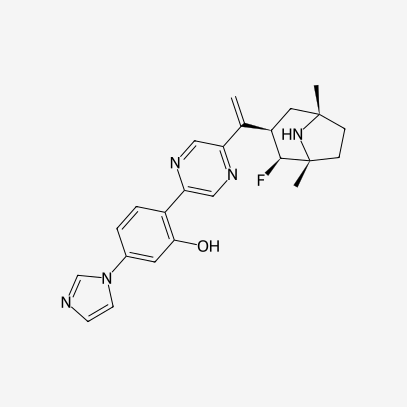 C=C(c1cnc(-c2ccc(-n3ccnc3)cc2O)cn1)[C@H]1C[C@]2(C)CC[C@@](C)(N2)[C@H]1F